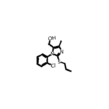 CCCSc1nc(C)c(CO)n1-c1ccccc1Cl